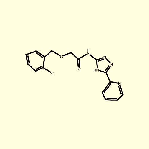 O=C(COCc1ccccc1Cl)Nc1nnc(-c2ccccn2)[nH]1